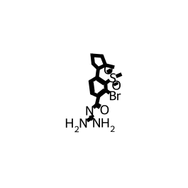 CC1CCCC1c1ccc(C(=O)N=C(N)N)c(Br)c1S(C)(=O)=O